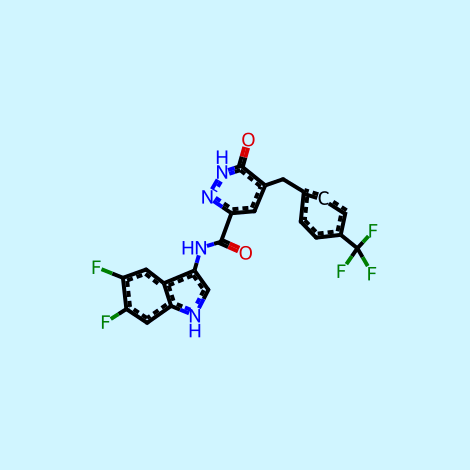 O=C(Nc1c[nH]c2cc(F)c(F)cc12)c1cc(Cc2ccc(C(F)(F)F)cc2)c(=O)[nH]n1